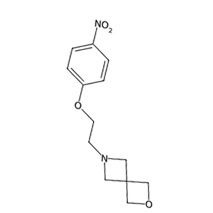 O=[N+]([O-])c1ccc(OCCN2CC3(COC3)C2)cc1